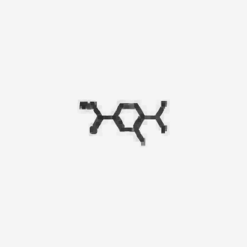 CNC(=O)c1ccc(C(F)F)c(I)c1